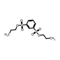 CCCOS(=O)(=O)c1cccc(S(=O)(=O)OCCC)c1